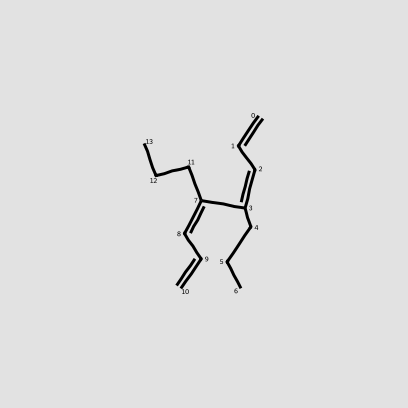 C=C/C=C(CCC)\C(=C/C=C)CCC